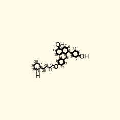 Oc1ccc(-c2ccc3c(O)cccc3c2Cc2ccc(OCCCCC3CCCCN3)cc2)cc1